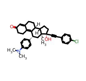 CN(C)c1ccc([C@H]2C[C@@]3(C)[C@@H](CC[C@@]3(O)C#Cc3ccc(Cl)cc3)[C@@H]3CCC4=CC(=O)CCC4=C32)cc1